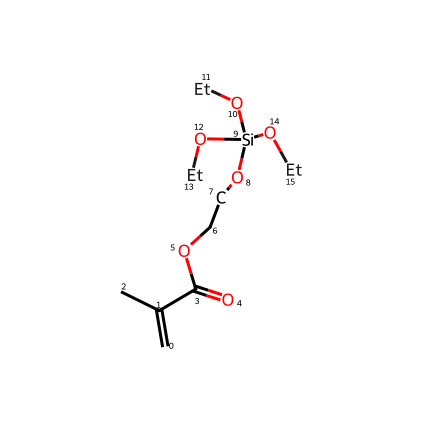 C=C(C)C(=O)OCCO[Si](OCC)(OCC)OCC